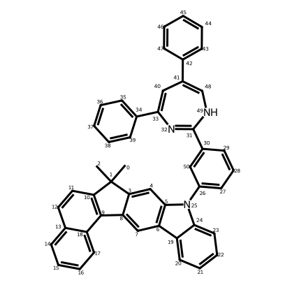 CC1(C)c2cc3c(cc2-c2c1ccc1ccccc21)c1ccccc1n3-c1cccc(C2=NC(c3ccccc3)=CC(c3ccccc3)=CN2)c1